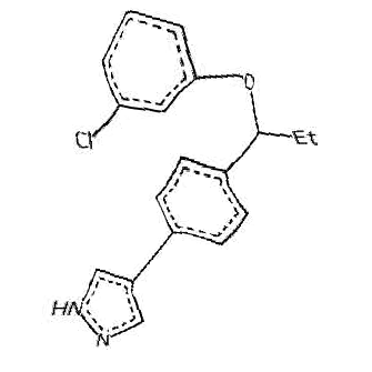 [CH2]CC(Oc1cccc(Cl)c1)c1ccc(-c2cn[nH]c2)cc1